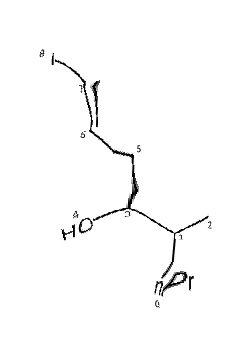 CCCC(C)C(O)C/C=C/I